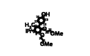 COCCOc1cc(C(C)C)c(C)c(-c2ccc(O)cc2)c1OCCOC